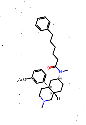 CC(=O)Oc1cccc([C@@]23CCN(C)C[C@H]2CC[C@@H](N(C)C(=O)CCCCCc2ccccc2)C3)c1